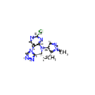 CC[C@@H]1c2nncn2-c2cnc(Cl)nc2N1c1cnn(C)c1